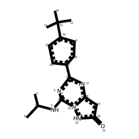 CC(C)Nc1nc(-c2ccc(C(C)(C)C)cc2)nc2cc(=O)[nH]n12